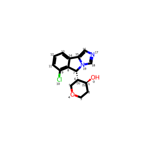 O[C@H]1CCOC[C@@H]1C1c2c(Cl)cccc2-c2cncn21